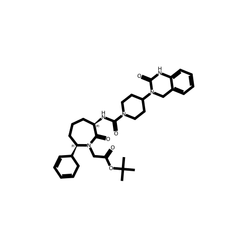 CC(C)(C)OC(=O)CN1C(=O)[C@H](NC(=O)N2CCC(N3Cc4ccccc4NC3=O)CC2)CCC[C@@H]1C1C=CC=CC1